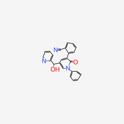 N#Cc1ccccc1-c1cc(C(O)c2ccccn2)cn(-c2ccccc2)c1=O